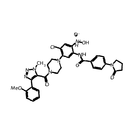 COc1ccccc1-c1nnn(C)c1C(=O)N1CCN(c2cc(NC(=O)c3ccc(N4CCCC4=O)cc3)c([NH+]([O-])O)cc2Cl)CC1